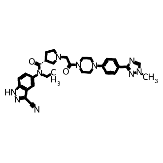 CCN(C(=O)[C@@H]1CCN(CC(=O)N2CCN(c3ccc(-c4ncn(C)n4)cc3)CC2)C1)c1ccc2[nH]nc(C#N)c2c1